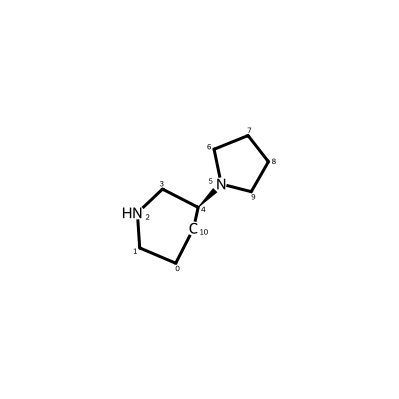 C1CNC[C@@H](N2CCCC2)C1